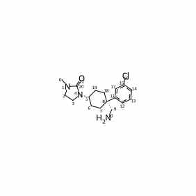 CN1CCN([C@H]2CC[C@](CN)(c3cccc(Cl)c3)CC2)C1=O